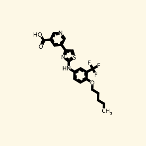 CCCCCOc1ccc(Nc2nc(-c3cncc(C(=O)O)c3)cs2)cc1C(F)(F)F